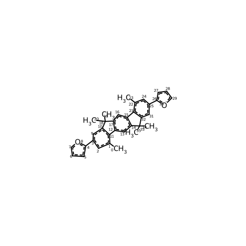 Cc1cc(-c2ccco2)cc2c1-c1cc3c(cc1C2(C)C)-c1c(C)cc(-c2ccco2)cc1C3(C)C